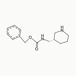 O=C(NC[C@H]1CCCNC1)OCc1ccccc1